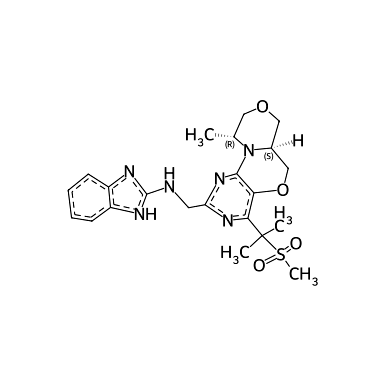 C[C@@H]1COC[C@H]2COc3c(nc(CNc4nc5ccccc5[nH]4)nc3C(C)(C)S(C)(=O)=O)N21